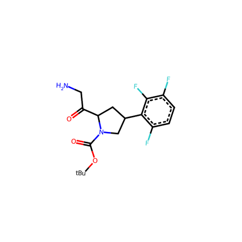 CC(C)(C)OC(=O)N1CC(c2c(F)ccc(F)c2F)CC1C(=O)CN